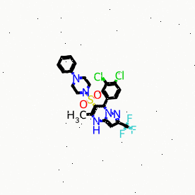 CC1=C(S(=O)(=O)N2CCN(c3ccccc3)CC2)C(c2ccc(Cl)c(Cl)c2)n2nc(C(F)(F)F)cc2N1